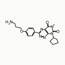 Cn1c(=O)c2nc(-c3ccc(OCCCN)cc3)nnc2n(C2CCCC2)c1=O